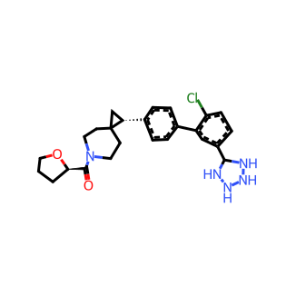 O=C([C@H]1CCCO1)N1CCC2(CC1)C[C@@H]2c1ccc(-c2cc(C3NNNN3)ccc2Cl)cc1